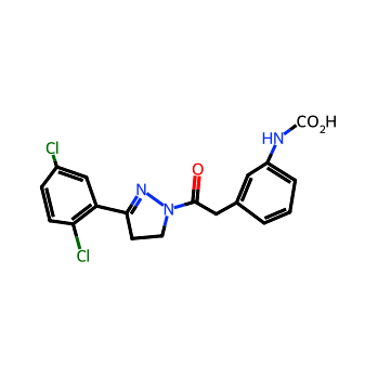 O=C(O)Nc1cccc(CC(=O)N2CCC(c3cc(Cl)ccc3Cl)=N2)c1